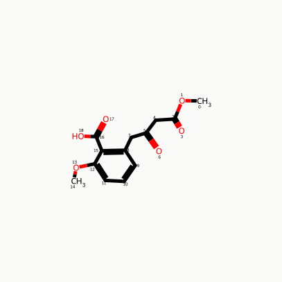 COC(=O)CC(=O)Cc1cccc(OC)c1C(=O)O